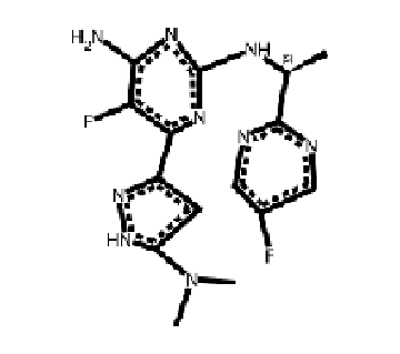 C[C@H](Nc1nc(N)c(F)c(-c2cc(N(C)C)[nH]n2)n1)c1ncc(F)cn1